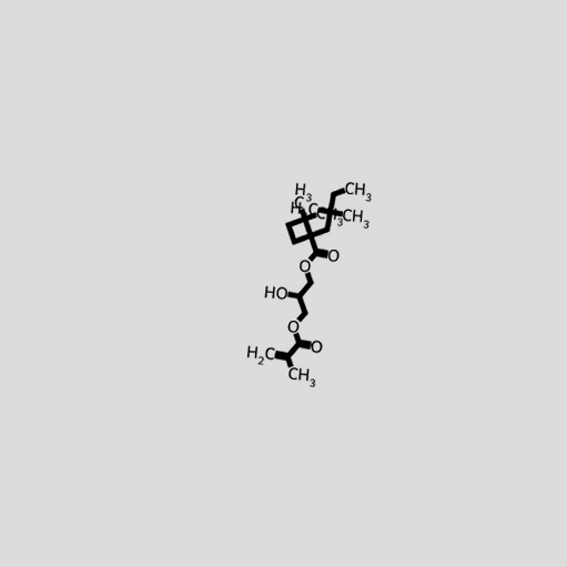 C=C(C)C(=O)OCC(O)COC(=O)C1(CC(C)(C)CC)CCC1(C)C